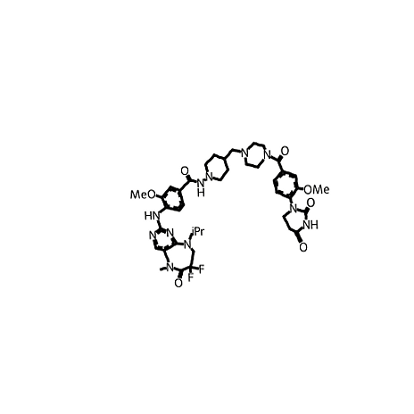 COc1cc(C(=O)NN2CCC(CN3CCN(C(=O)c4ccc(N5CCC(=O)NC5=O)c(OC)c4)CC3)CC2)ccc1Nc1ncc2c(n1)N(C(C)C)CC(F)(F)C(=O)N2C